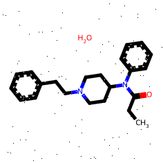 CCC(=O)N(c1ccccc1)C1CCN(CCc2ccccc2)CC1.O